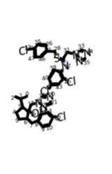 CC(C)C1CCC(Cc2ccc(Cl)cc2)C1(O)Cn1cncn1.Clc1ccc(CS/C(Cn2cncn2)=N\c2ccc(Cl)cc2Cl)cc1